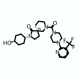 O=C(N1CCN(c2ncccc2C(F)(F)F)CC1)N1CCC[C@@]2(CCN([C@H]3CC[C@H](O)CC3)C2=O)C1